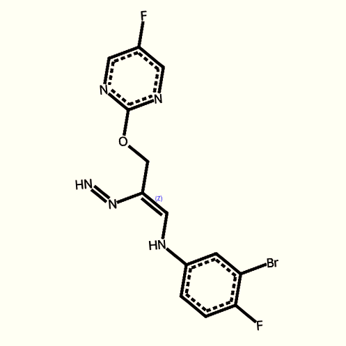 N=N/C(=C\Nc1ccc(F)c(Br)c1)COc1ncc(F)cn1